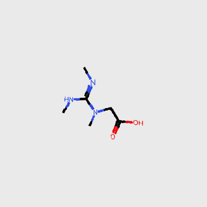 C/N=C(\NC)N(C)CC(=O)O